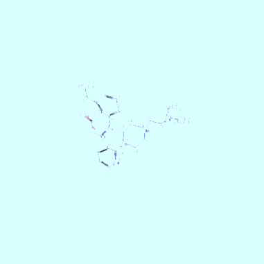 CCc1cccc2nc(-c3cccnc3N3CCN(CCN(C)C)CC3)oc(=O)c12